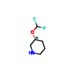 FC(F)O[C@@H]1CCCNC1